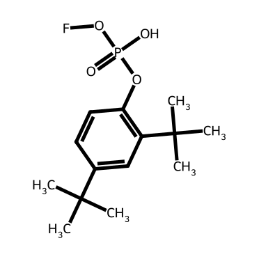 CC(C)(C)c1ccc(OP(=O)(O)OF)c(C(C)(C)C)c1